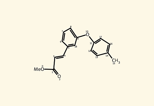 COC(=O)C=Cc1cccc(Oc2ccc(C)cc2)c1